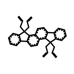 C=CCC1(CC=C)c2c[c]ccc2-c2ccc3c4c(ccc3c21)-c1c[c]ccc1C4(CC=C)CC=C